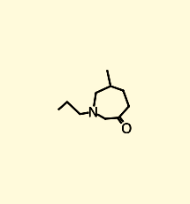 CCCN1CC(=O)CCC(C)C1